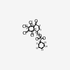 O=C1C=CC(=NOS(=O)(=O)c2ccccc2)c2c(Cl)c(Cl)c(Cl)c(Cl)c21